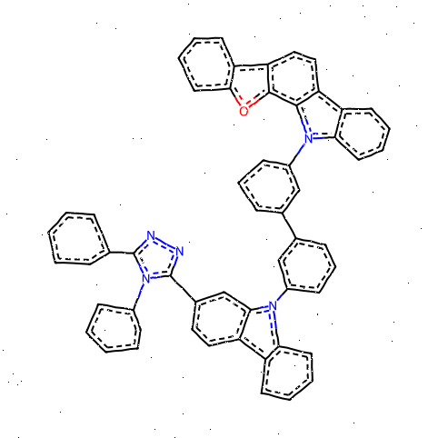 c1ccc(-c2nnc(-c3ccc4c5ccccc5n(-c5cccc(-c6cccc(-n7c8ccccc8c8ccc9c%10ccccc%10oc9c87)c6)c5)c4c3)n2-c2ccccc2)cc1